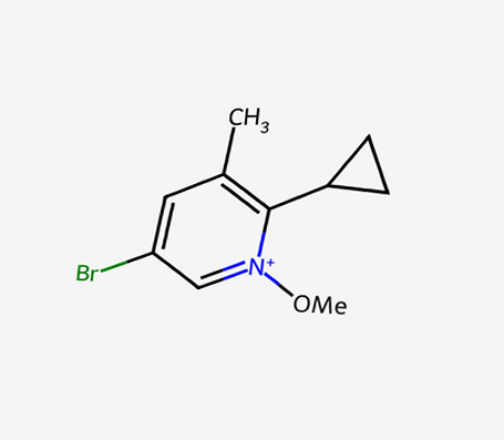 CO[n+]1cc(Br)cc(C)c1C1CC1